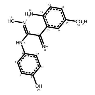 N=C(/C(=N/O)Nc1ccc(O)cc1)c1cc(C(=O)O)ccc1N